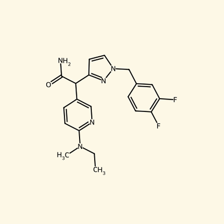 CCN(C)c1ccc(C(C(N)=O)c2ccn(Cc3ccc(F)c(F)c3)n2)cn1